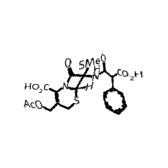 CSC1(NC(=O)C(C(=O)O)c2ccccc2)C(=O)N2C(C(=O)O)=C(COC(C)=O)CS[C@H]21